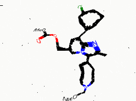 COCN1C=CC(c2c(C)nc3c(-c4cccc(Cl)c4)cc(COC(=O)OC)cn23)C=C1